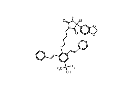 CCC1(c2ccc3c(c2)OCO3)NC(=O)N(CCCCOc2c(/C=C/c3ccccc3)cc(C(O)(C(F)(F)F)C(F)(F)F)cc2/C=C/c2ccccc2)C1=O